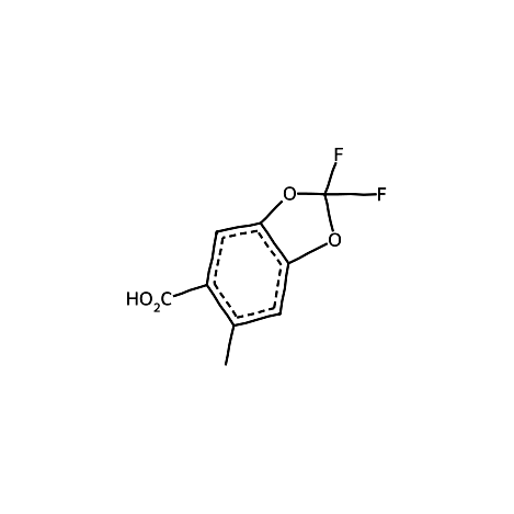 Cc1cc2c(cc1C(=O)O)OC(F)(F)O2